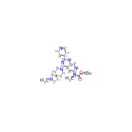 CN1CCC2(CCN(c3nc(-c4ccncc4)nc4cnc(N(C)C(=O)OC(C)(C)C)cc34)CC2)C1